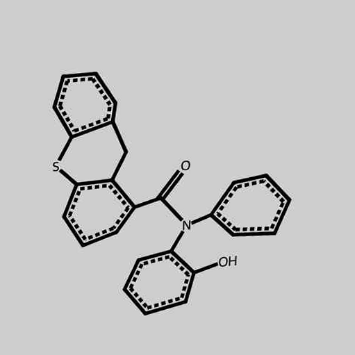 O=C(c1cccc2c1Cc1ccccc1S2)N(c1ccccc1)c1ccccc1O